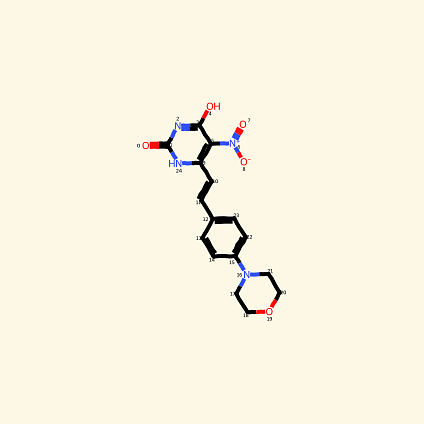 O=c1nc(O)c([N+](=O)[O-])c(C=Cc2ccc(N3CCOCC3)cc2)[nH]1